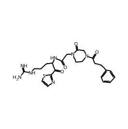 N=C(N)NCCCC(NC(=O)CN1CCN(C(=O)CCc2ccccc2)CC1=O)C(=O)c1nccs1